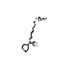 CCCCCCCCCCCCC/C=C/CCC(CC)C1CCCCC1